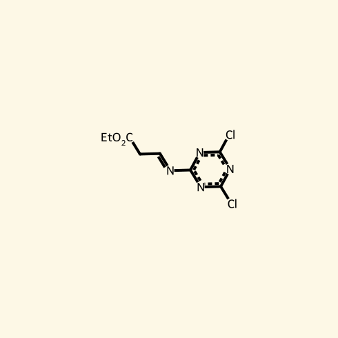 CCOC(=O)CC=Nc1nc(Cl)nc(Cl)n1